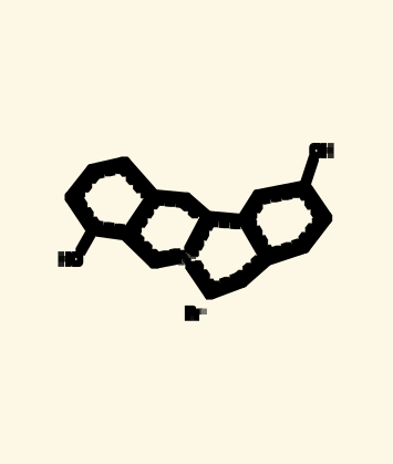 Oc1ccc2cc[n+]3cc4c(O)cccc4cc3c2c1.[Br-]